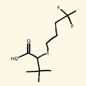 CC(F)(F)CCCSC(C(=O)O)C(C)(C)C